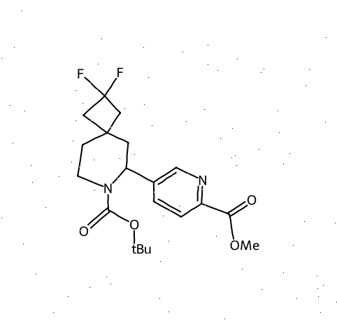 COC(=O)c1ccc(C2CC3(CCN2C(=O)OC(C)(C)C)CC(F)(F)C3)cn1